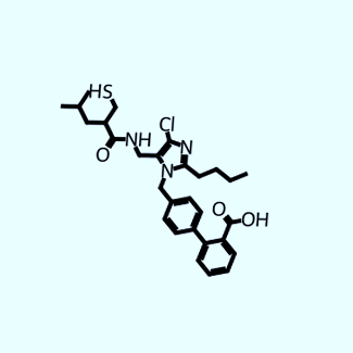 CCCCc1nc(Cl)c(CNC(=O)C(CS)CC(C)C)n1Cc1ccc(-c2ccccc2C(=O)O)cc1